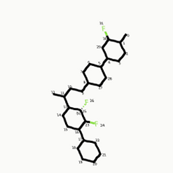 CC1CCC(C2CCC(CCC(C)C3CCC(C4CCCCC4)C(F)[C@H]3F)CC2)CC1F